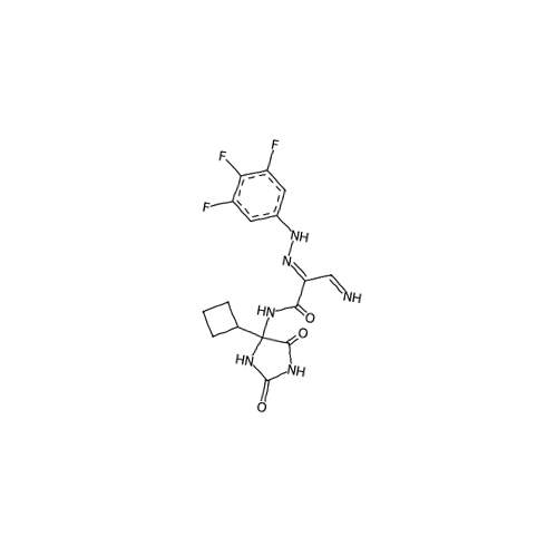 N=C/C(=N\Nc1cc(F)c(F)c(F)c1)C(=O)NC1(C2CCC2)NC(=O)NC1=O